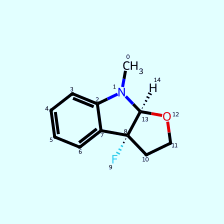 CN1c2ccccc2[C@]2(F)CCO[C@H]12